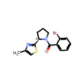 Cc1csc([C@H]2CCCN2C(=O)c2ccccc2Br)n1